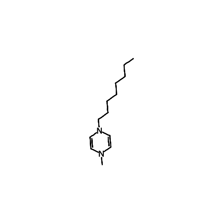 CCCCCCCCN1C=CN(C)C=C1